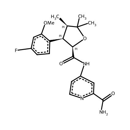 COc1cc(F)ccc1[C@H]1[C@@H](C)C(C)(C)O[C@H]1C(=O)Nc1ccnc(C(N)=O)c1